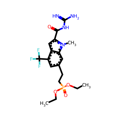 CCOP(=O)(CCc1cc(C(F)(F)F)c2cc(C(=O)NC(=N)N)n(C)c2c1)OCC